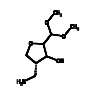 COC(OC)C1OC[C@@H](CN)C1O